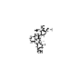 N#Cc1ccc(Nc2c(-c3ccc(O)c(O)c3O)nc3cnccn23)cc1